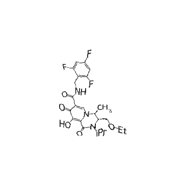 CCOC[C@@H]1[C@H](C)n2cc(C(=O)NCc3c(F)cc(F)cc3F)c(=O)c(O)c2C(=O)N1C(C)C